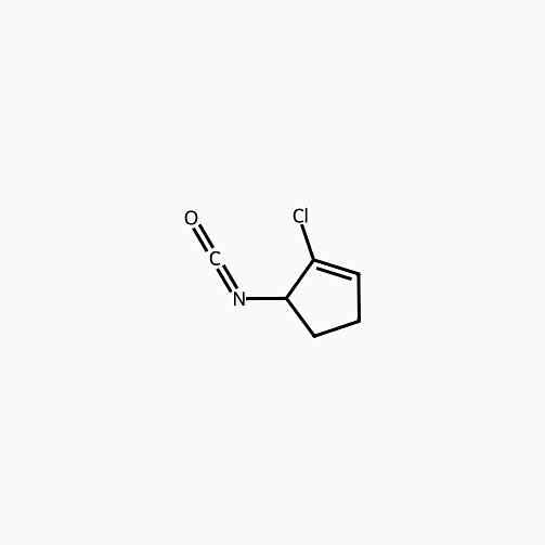 O=C=NC1CCC=C1Cl